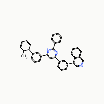 CC1C=CC=CC1c1cccc(-c2cc(-c3cccc(-c4cncc5ccccc45)c3)nc(-c3ccccc3)n2)c1